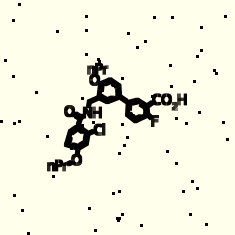 CCCOc1ccc(C(=O)NCc2cc(-c3ccc(F)c(C(=O)O)c3)ccc2OCCC)c(Cl)c1